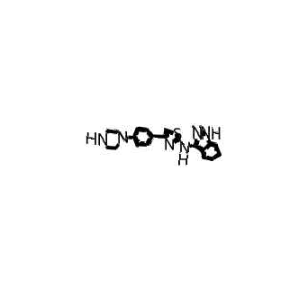 c1ccc2c(Nc3nc(-c4ccc(N5CCNCC5)cc4)cs3)n[nH]c2c1